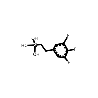 O[Si](O)(O)CCc1cc(F)c(F)c(F)c1